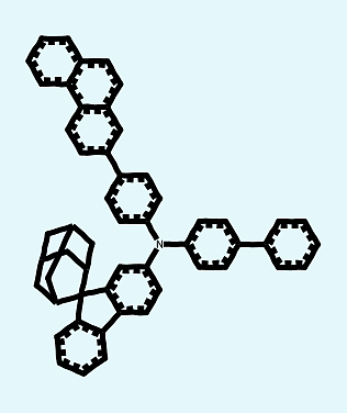 c1ccc(-c2ccc(N(c3ccc(-c4ccc5c(ccc6ccccc65)c4)cc3)c3ccc4c(c3)C3(c5ccccc5-4)C4CC5CC(C4)CC3C5)cc2)cc1